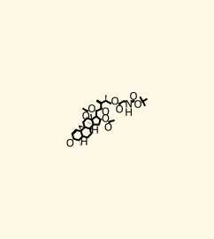 C=C(C(=O)[C@H](OC(C)=O)C1[C@@H](OC(C)=O)C[C@@]2(C)[C@@H]3CC[C@H]4[C@H](C)C(=O)C=C[C@@]45C[C@@]35CC[C@]12C)[C@@H](C)COC(=O)CNC(=O)OC(C)(C)C